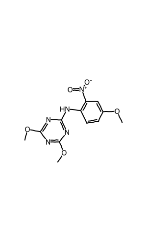 COc1ccc(Nc2nc(OC)nc(OC)n2)c([N+](=O)[O-])c1